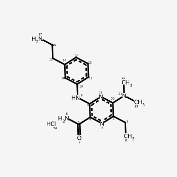 CCc1nc(C(N)=O)c(Nc2cccc(CCN)c2)nc1N(C)C.Cl